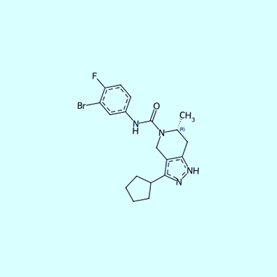 C[C@@H]1Cc2[nH]nc(C3CCCC3)c2CN1C(=O)Nc1ccc(F)c(Br)c1